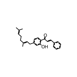 CC(C)=CCC/C(C)=C/Cc1ccc(C(=O)C=Cc2ccccc2)c(O)c1